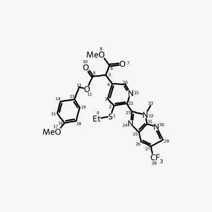 CCSc1cc(C(C(=O)OC)C(=O)OCc2ccc(OC)cc2)cnc1-c1nc2cc(C(F)(F)F)cnc2n1C